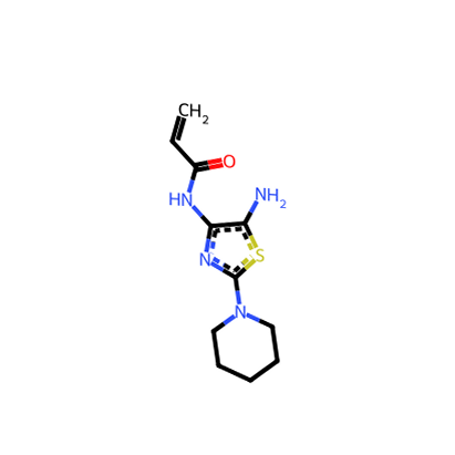 C=CC(=O)Nc1nc(N2CCCCC2)sc1N